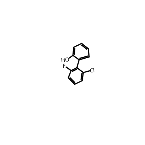 Oc1ccccc1-c1c(F)cccc1Cl